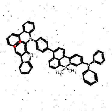 C[Si]1(C)c2cc(N(c3ccccc3)c3ccccc3)ccc2-c2ccc(-c3ccc(N(c4ccccc4-c4ccccc4)c4cccc5c4oc4ccccc45)cc3)c3cccc1c23